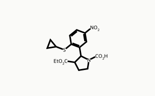 CCOC(=O)C1CCN(C(=O)O)C1c1cc([N+](=O)[O-])ccc1SC1CC1